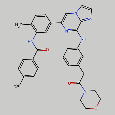 Cc1ccc(-c2cn3ccnc3c(Nc3cccc(CC(=O)N4CCOCC4)c3)n2)cc1NC(=O)c1ccc(C(C)(C)C)cc1